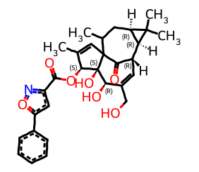 CC1=CC23C(=O)[C@@H](C=C(CO)[C@@H](O)[C@]2(O)[C@H]1OC(=O)c1cc(-c2ccccc2)on1)[C@H]1[C@@H](CC3C)C1(C)C